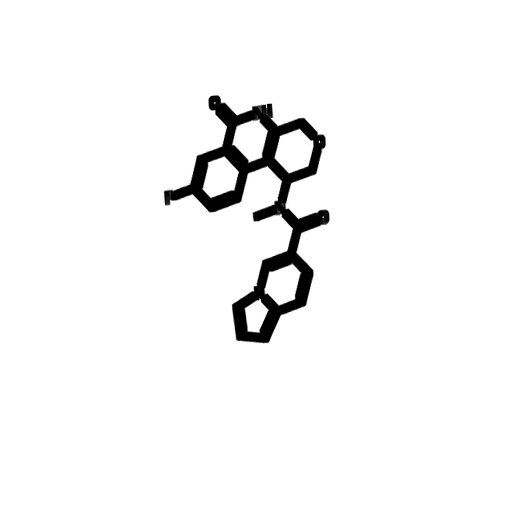 CN(C(=O)c1ccc2cccn2c1)C1COCc2[nH]c(=O)c3cc(F)ccc3c21